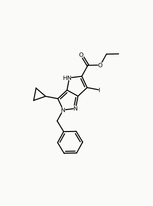 CCOC(=O)c1[nH]c2c(C3CC3)n(Cc3ccccc3)nc2c1I